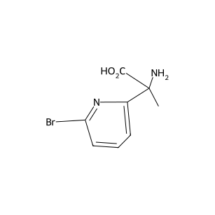 CC(N)(C(=O)O)c1cccc(Br)n1